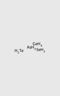 [AsH3].[GeH4].[SeH2].[TeH2]